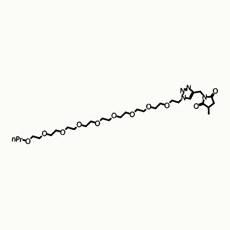 CCCOCCOCCOCCOCCOCCOCCOCCOCCOCCn1cc(CN2C(=O)CC(C)C2=O)nn1